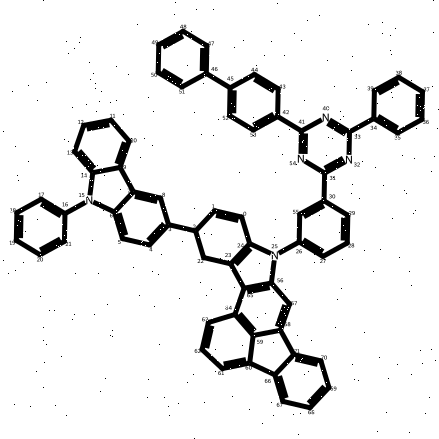 C1=CC(c2ccc3c(c2)c2ccccc2n3-c2ccccc2)Cc2c1n(-c1cccc(-c3nc(-c4ccccc4)nc(-c4ccc(-c5ccccc5)cc4)n3)c1)c1cc3c4c(cccc4c21)-c1ccccc1-3